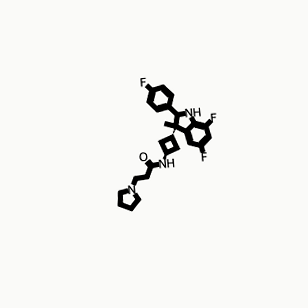 CC1([C@H]2C[C@H](NC(=O)CCN3CCCC3)C2)c2cc(F)cc(F)c2NC1c1ccc(F)cc1